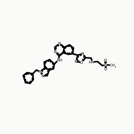 CS(=O)(=O)CCNCc1nc(-c2ccc3ncnc(Nc4ccc5c(cnn5Cc5ccccc5)c4)c3c2)no1